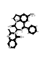 Cc1nc2cnccc2c(=O)n1C1N=C(c2ccccc2)c2cc(N)cc3c2N(CC3)C1=O